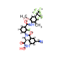 CBc1cc(C(F)(C(F)(F)F)C(F)(F)F)cc(C)c1NC(=O)c1cccc(N(CCC(=O)NO)C(=O)c2cccc(C#N)c2)c1F